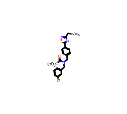 CCCCCCCCCCCc1noc(-c2ccc(CN(Cc3cccc(Cl)c3)C(=O)C(=O)OCC)cc2)n1